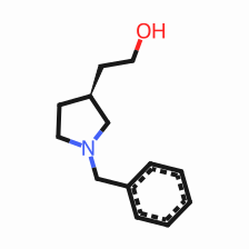 OCC[C@@H]1CCN(Cc2ccccc2)C1